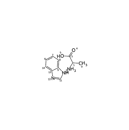 CC(N)C(=O)O.c1ccc2[nH]cnc2c1